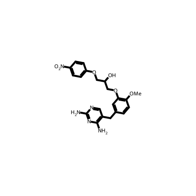 COc1ccc(Cc2cnc(N)nc2N)cc1OCC(O)COc1ccc([N+](=O)[O-])cc1